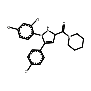 O=C(C1C=C(c2ccc(Cl)cc2)N(c2ccc(Cl)cc2Cl)N1)N1CCCCC1